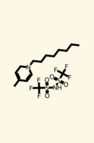 CCCCCCCCN1C=CC(C)=CC1.O=S(=O)(NS(=O)(=O)C(F)(F)F)C(F)(F)F